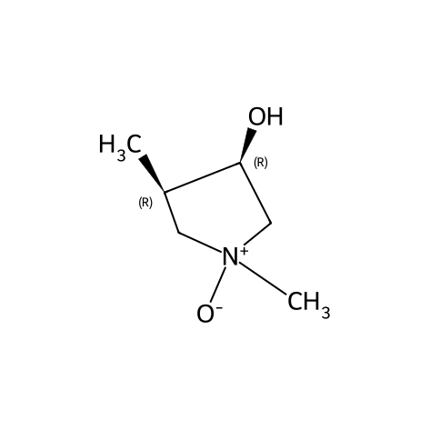 C[C@@H]1C[N+](C)([O-])C[C@@H]1O